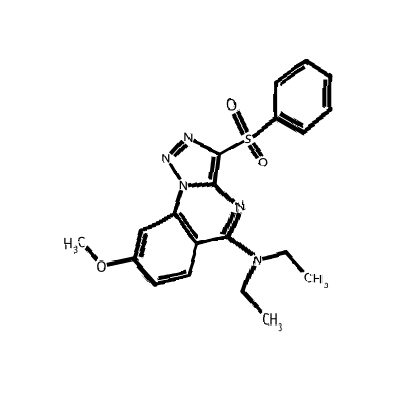 CCN(CC)c1nc2c(S(=O)(=O)c3ccccc3)nnn2c2cc(OC)ccc12